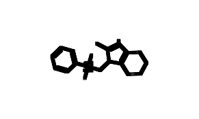 CC1=[C]C2=C(CCCC2)C1C[Si](C)(C)c1ccccc1